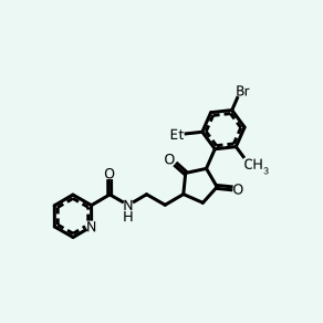 CCc1cc(Br)cc(C)c1C1C(=O)CC(CCNC(=O)c2ccccn2)C1=O